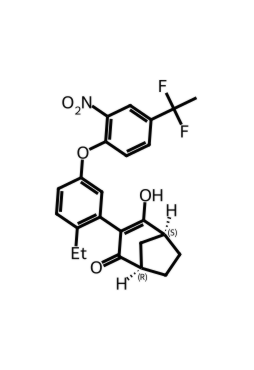 CCc1ccc(Oc2ccc(C(C)(F)F)cc2[N+](=O)[O-])cc1C1=C(O)[C@H]2CC[C@H](C2)C1=O